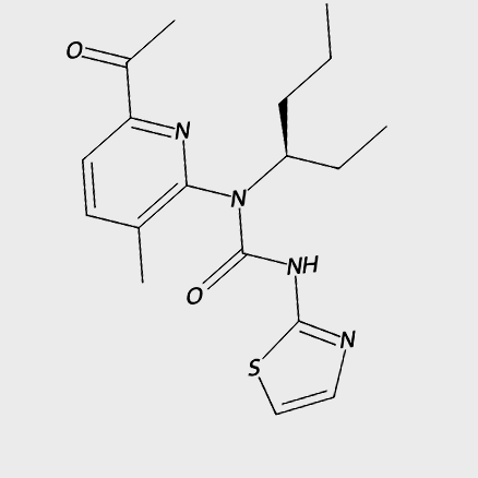 CCC[C@@H](CC)N(C(=O)Nc1nccs1)c1nc(C(C)=O)ccc1C